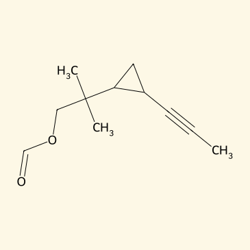 CC#CC1CC1C(C)(C)COC=O